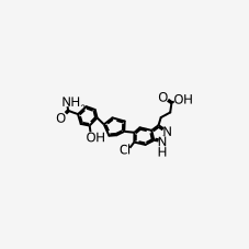 NC(=O)c1ccc(-c2ccc(-c3cc4c(CCC(=O)O)n[nH]c4cc3Cl)cc2)c(O)c1